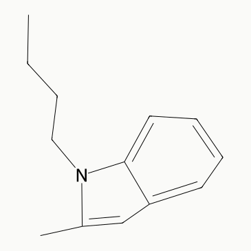 CCCCn1c(C)cc2ccccc21